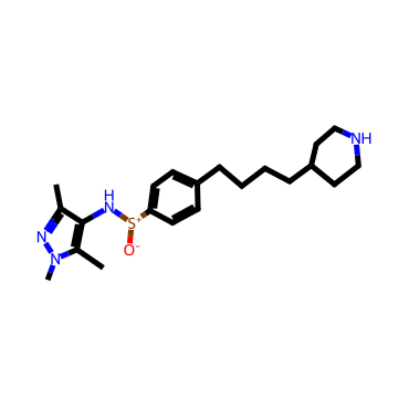 Cc1nn(C)c(C)c1N[S+]([O-])c1ccc(CCCCC2CCNCC2)cc1